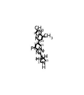 Cc1cn2nc(-c3cc(F)c4nc(C5[C@H]6CNC[C@@H]56)nn4c3)cc(C)c2n1